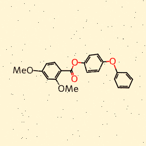 COc1ccc(C(=O)Oc2ccc(Oc3ccccc3)cc2)c(OC)c1